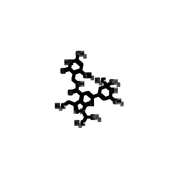 CCc1nn(C(C)C)c2nc(C3=CC(C)NC(C)(C)C3)cc(C(=O)NCc3c(C)cc(C)[nH]c3=O)c12